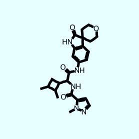 CC1CC(C(NC(=O)c2ccnn2C)C(=O)Nc2ccc3c(c2)NC(=O)C32CCOCC2)C1C